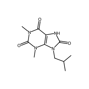 CC(C)Cn1c(=O)[nH]c2c(=O)n(C)c(=O)n(C)c21